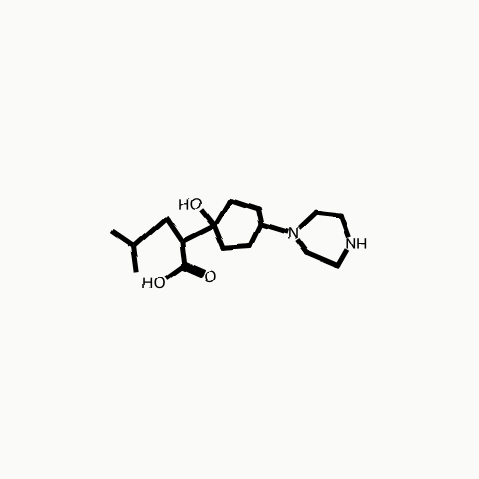 C[C](C)CC(C(=O)O)C1(O)CCC(N2CCNCC2)CC1